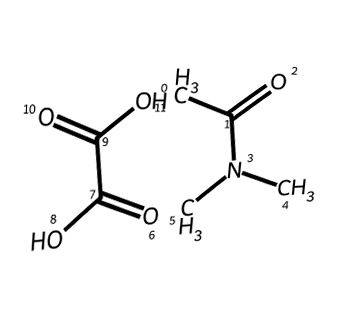 CC(=O)N(C)C.O=C(O)C(=O)O